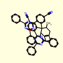 CC1CC2=C3C(C2)CC3C1(c1cc(C#N)ccc1-c1nc(-c2ccccc2)nc(-c2ccccc2)n1)c1cc(C#N)ccc1-c1nc(-c2ccccc2)nc(-c2ccccc2)n1